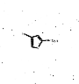 O=C(O)C1=CC(F)=C[N]1